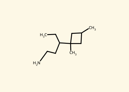 CCC(CCN)C1(C)CC(C)C1